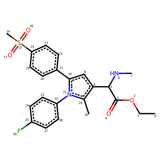 CCOC(=O)C(NC)c1cc(-c2ccc(S(C)(=O)=O)cc2)n(-c2ccc(F)cc2)c1C